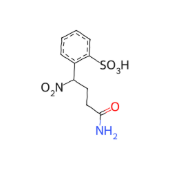 NC(=O)CCC(c1ccccc1S(=O)(=O)O)[N+](=O)[O-]